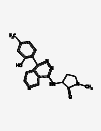 CN1CCC(Nc2nnc(-c3ccc(C(F)(F)F)cc3O)c3ccncc23)C1=O